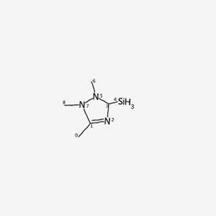 CC1=NC([SiH3])N(C)N1C